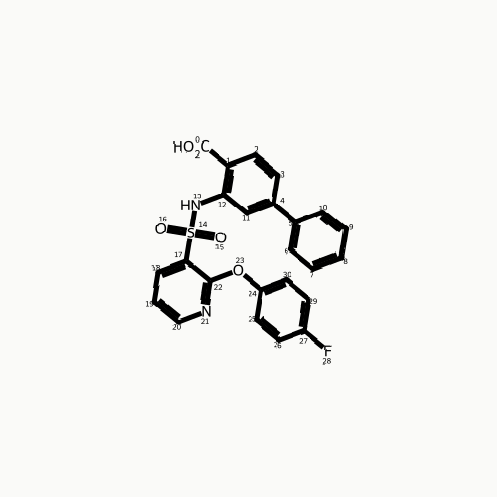 O=C(O)c1ccc(-c2ccccc2)cc1NS(=O)(=O)c1cccnc1Oc1ccc(F)cc1